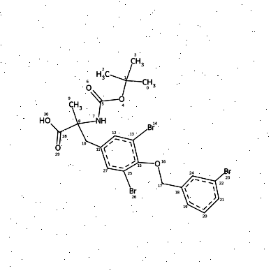 CC(C)(C)OC(=O)NC(C)(Cc1cc(Br)c(OCc2cccc(Br)c2)c(Br)c1)C(=O)O